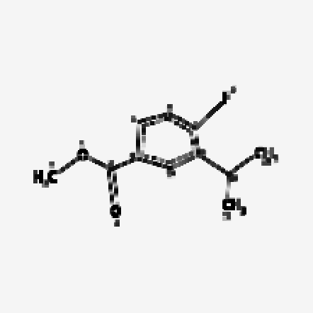 COC(=O)c1ccc(F)c(C(C)C)c1